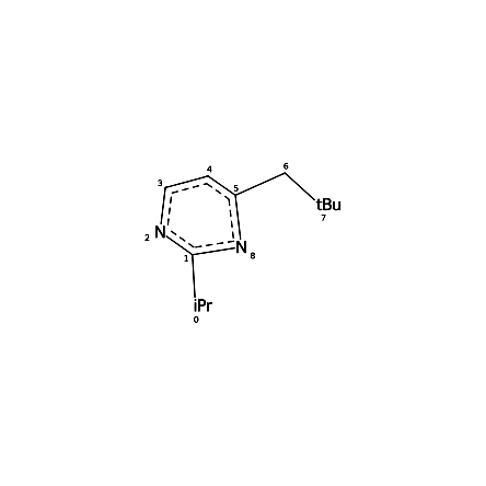 CC(C)c1nccc(CC(C)(C)C)n1